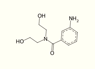 Nc1cccc(C(=O)N(CCO)CCO)c1